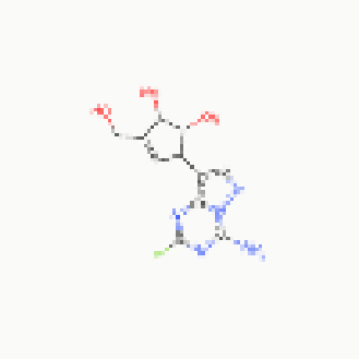 Nc1nc(F)nc2c(C3C=C(CO)C(O)C3O)cnn12